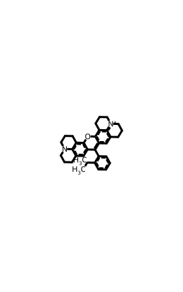 CC(C)c1ccccc1C1=c2cc3c4c(c2Oc2c1cc1c5c2CCCN5CCC1)CCC[N+]=4CCC3